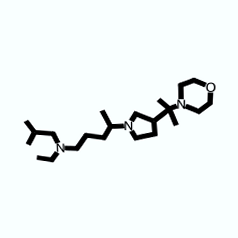 CCN(CCCC(C)N1CCC(C(C)(C)N2CCOCC2)C1)CC(C)C